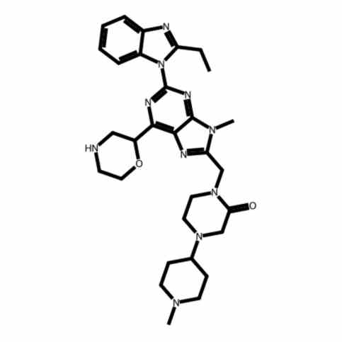 CCc1nc2ccccc2n1-c1nc(C2CNCCO2)c2nc(CN3CCN(C4CCN(C)CC4)CC3=O)n(C)c2n1